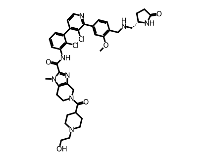 COc1cc(-c2nccc(-c3cccc(NC(=O)c4nc5c(n4C)CCN(C(=O)C4CCN(CCO)CC4)C5)c3Cl)c2Cl)ccc1CNC[C@@H]1CCC(=O)N1